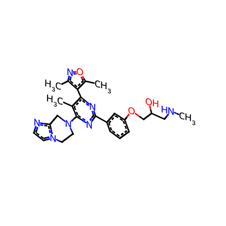 CNCC(O)COc1cccc(-c2nc(-c3c(C)noc3C)c(C)c(N3CCn4ccnc4C3)n2)c1